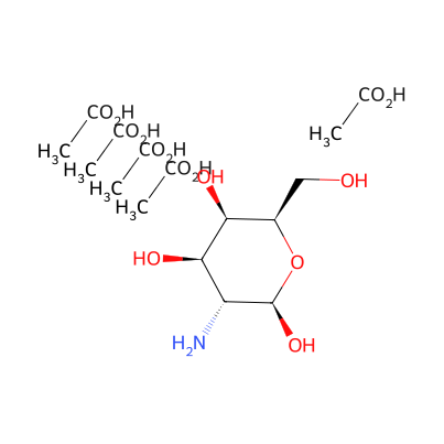 CC(=O)O.CC(=O)O.CC(=O)O.CC(=O)O.CC(=O)O.N[C@@H]1[C@@H](O)[C@@H](O)[C@@H](CO)O[C@H]1O